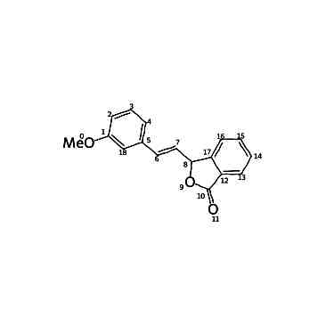 COc1cccc(C=CC2OC(=O)c3ccccc32)c1